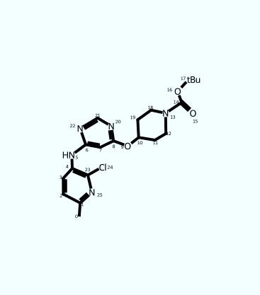 Cc1ccc(Nc2cc(OC3CCN(C(=O)OC(C)(C)C)CC3)ncn2)c(Cl)n1